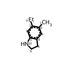 CCc1cc2c(cc1C)CCN2